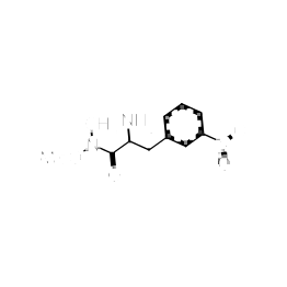 CON(C)C(=O)C(N)Cc1cccc([SH](=O)=O)c1